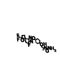 C[C@@H](CO[C@H]1CC[C@H](OC2=NC3=C(F)C=C(OCC(F)F)C(Cl)C3N2C)CC1)NC(N)=O